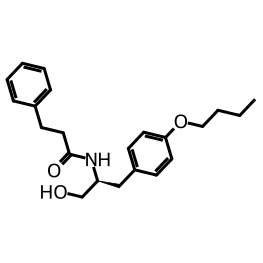 CCCCOc1ccc(C[C@@H](CO)NC(=O)CCc2ccccc2)cc1